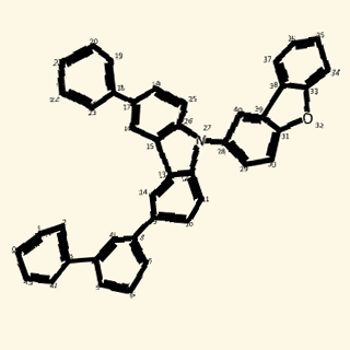 c1ccc(-c2cccc(-c3ccc4c(c3)c3cc(-c5ccccc5)ccc3n4-c3ccc4oc5ccccc5c4c3)c2)cc1